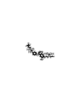 CCCN(CCOc1cc2nccc(Oc3ccc(NC(=O)NCCC(C)(C)C)cc3)c2cc1OC)C(O)O